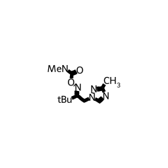 CNC(=O)ON=C(Cn1cnc(C)n1)C(C)(C)C